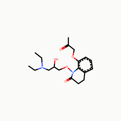 CCN(CC)CC(O)CON1C(=O)CCc2cccc(OCC(C)=O)c21